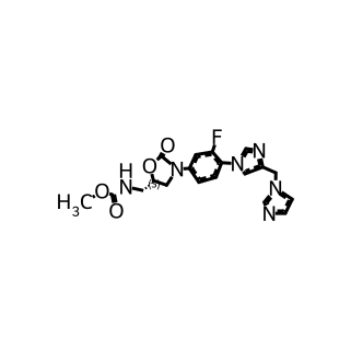 COC(=O)NC[C@H]1CN(c2ccc(-n3cnc(Cn4ccnc4)c3)c(F)c2)C(=O)O1